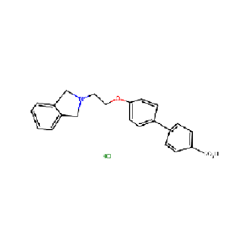 Cl.O=S(=O)(O)c1ccc(-c2ccc(OCCN3Cc4ccccc4C3)cc2)cc1